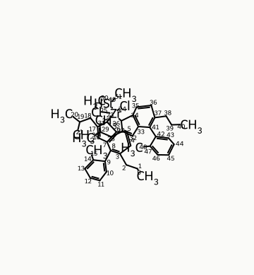 CCCc1ccc2c(c1-c1ccccc1C)C=C(CC(C)C)[CH]2[Zr]([Cl])([Cl])([CH]1C(CC(C)C)=Cc2c1ccc(CCC)c2-c1ccccc1C)[SiH](C)C